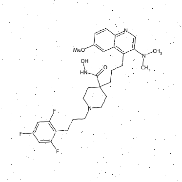 COc1ccc2ncc(N(C)C)c(CCCC3(C(=O)NO)CCN(CCCc4c(F)cc(F)cc4F)CC3)c2c1